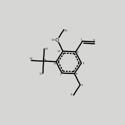 C=Cc1cc(CC)cc(C(C)(C)C)c1OC